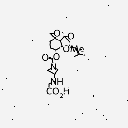 CO[C@@H]1[C@H](OC(=O)N2CC(NCC(=O)O)C2)CC[C@]2(CO2)[C@H]1[C@@]1(C)O[C@@H]1CC=C(C)C